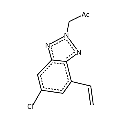 C=Cc1cc(Cl)cc2nn(CC(C)=O)nc12